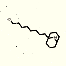 OCCCCCCCCC12CCCC(CCC1)N2